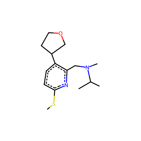 CSc1ccc(C2CCOC2)c(CN(C)C(C)C)n1